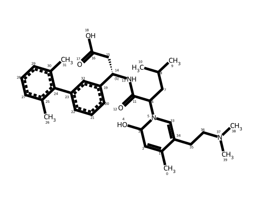 CC1=CC(O)N(C(CC(C)C)C(=O)N[C@@H](CC(=O)O)c2cccc(-c3c(C)cccc3C)c2)C=C1CCN(C)C